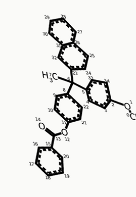 COc1ccc(C(C)(c2ccc(OC(=O)c3ccccc3)cc2)c2ccc3ccccc3c2)cc1